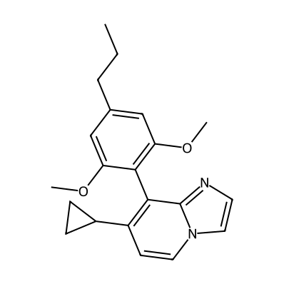 CCCc1cc(OC)c(-c2c(C3CC3)ccn3ccnc23)c(OC)c1